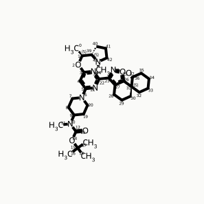 C[C@H](Oc1cc(N2CCC(N(C)C(=O)OC(C)(C)C)CC2)nc(-c2noc3c2CCC[C@@]32CCCCC2=O)n1)[C@@H]1CCCN1C